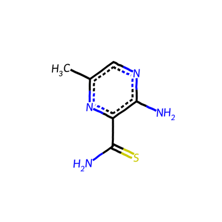 Cc1cnc(N)c(C(N)=S)n1